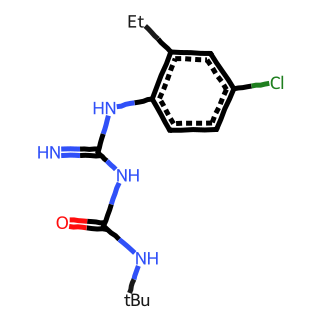 CCc1cc(Cl)ccc1NC(=N)NC(=O)NC(C)(C)C